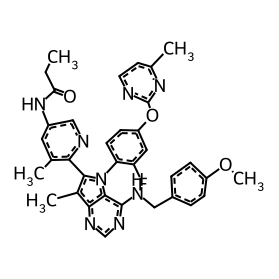 CCC(=O)Nc1cnc(-c2c(C)c3ncnc(NCc4ccc(OC)cc4)c3n2-c2ccc(Oc3nccc(C)n3)cc2F)c(C)c1